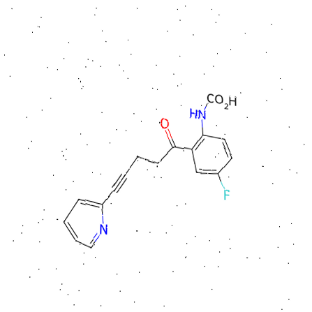 O=C(O)Nc1ccc(F)cc1C(=O)CCC#Cc1ccccn1